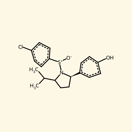 CC(C)C1CC[C@H](c2ccc(O)cc2)N1[S+]([O-])c1ccc(Cl)cc1